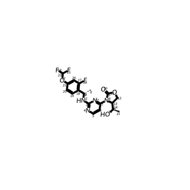 C[C@H](Nc1nccc(N2C(=O)OCC2[C@@H](C)O)n1)c1ccc(OC(F)F)cc1F